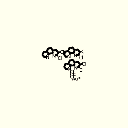 Clc1cc2ccc3cccnc3c2nc1Cl.Clc1cc2ccc3cccnc3c2nc1Cl.Clc1cc2ccc3cccnc3c2nc1Cl.[Au+3].[Cl-].[Cl-].[Cl-]